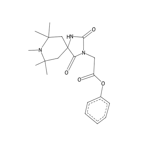 CN1C(C)(C)CC2(CC1(C)C)NC(=O)N(CC(=O)Oc1ccccc1)C2=O